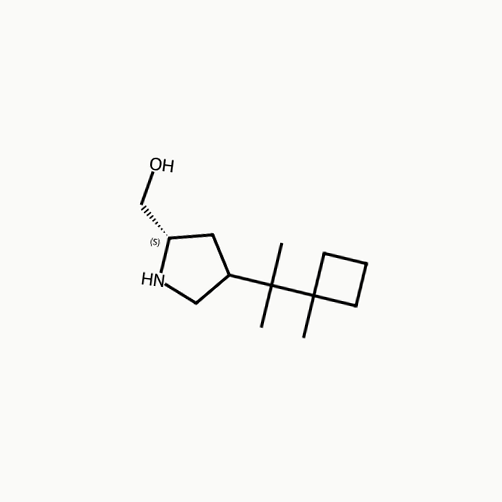 CC1(C(C)(C)C2CN[C@H](CO)C2)CCC1